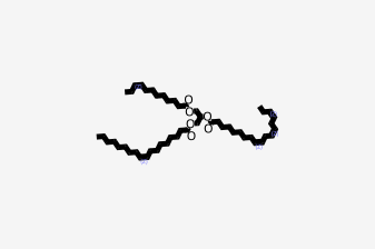 CC/C=C\C/C=C\C/C=C\CCCCCCCC(=O)OC(COC(=O)CCCCCCC/C=C\CC)COC(=O)CCCCCCC/C=C\CCCCCCCC